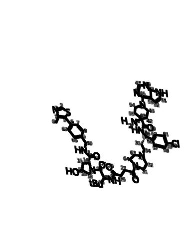 Cc1ncsc1-c1ccc(CNC(=O)[C@@H]2C[C@@H](O)CN2C(=O)C(NC(=O)CCC(=O)N2CCN(CC[C@H](NC(=O)C3(N)CCN(c4ncnc5[nH]ccc45)CC3)c3ccc(Cl)cc3)CC2)C(C)(C)C)cc1